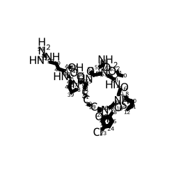 CC(C)[C@@H]1NC(=O)[C@H](Cc2cccs2)NC(=O)[C@H](Cc2ccc(Cl)cc2)NC(=O)CCCSC[C@@H](C(=O)N2CCC[C@H]2C(=O)N[C@@H](CO)CCCNC(=N)N)NC(=O)[C@H](CC(N)=O)NC1=O